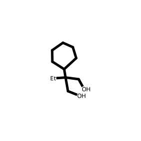 CCC(CO)(CO)C1CCCCC1